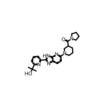 CC(C)(O)c1cccc(-c2nc3ccc(N4CCCC(C(=O)N5CCCC5)C4)nc3[nH]2)n1